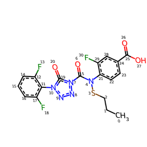 CCCSN(C(=O)n1nnn(-c2c(F)cccc2F)c1=O)c1ccc(C(=O)O)cc1F